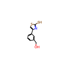 OCc1cccc(-c2csc(S)n2)c1